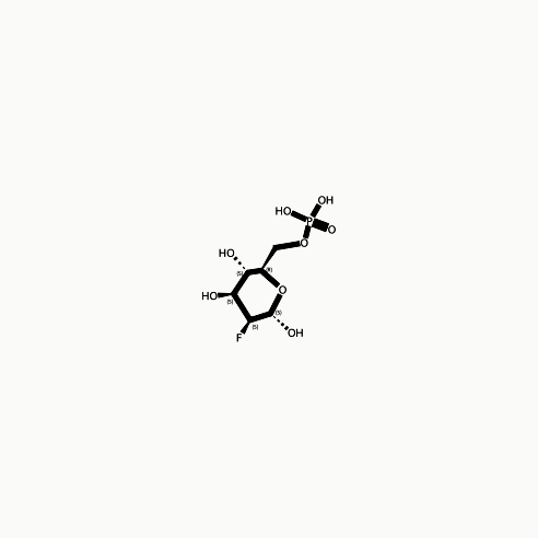 O=P(O)(O)OC[C@H]1O[C@H](O)[C@@H](F)[C@@H](O)[C@@H]1O